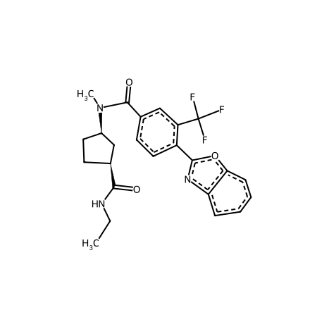 CCNC(=O)[C@H]1CC[C@@H](N(C)C(=O)c2ccc(-c3nc4ccccc4o3)c(C(F)(F)F)c2)C1